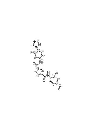 COc1ccc(NC(=O)c2ccc(C(=O)Nc3ccc(-n4cncn4)c(F)c3)s2)c(C)c1